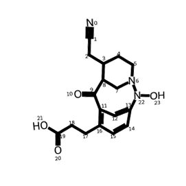 N#CCC1CCN2CC1C(=O)c1cc(ccc1CCC(=O)O)N2O